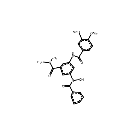 COc1ccc(C(=O)Nc2cc(C(=O)N(C)C)cc(N(O)C(=O)c3ccccc3)c2)cc1OC